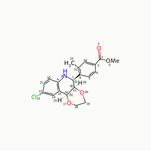 COC(=O)c1ccc([C@@H]2Nc3ccc(Cl)cc3[C@@H]3OCCO[C@H]23)c(C)c1